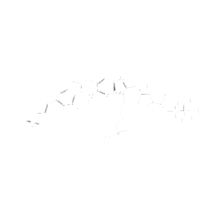 CC(C)(C)[Si](C)(C)O[C@@H]1CO[C@H]2[C@@H]1OC[C@H]2Oc1nc2cc(Cl)c(N[C@H]3CCc4cc(/C=C/CS(C)(=O)=O)cc(F)c43)nc2n1COCC[Si](C)(C)C